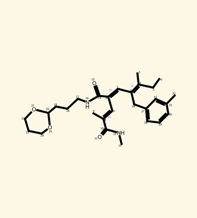 CC/C(C)=C(/C=C(\C=C(/C)C(=O)NC)C(=O)NCCCC1OCCCO1)Cc1cccc(C)c1